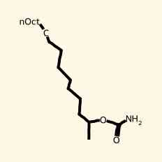 CCCCCCCCCCCCCCCCC(C)OC(N)=O